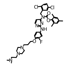 Cc1cc(C)c(OC(=O)N(Cc2cc(Cl)ccc2Cl)c2ccnc(Nc3ccc(OCCCN4CCN(CCN(C)C)CC4)c(F)c3)n2)c(C)c1